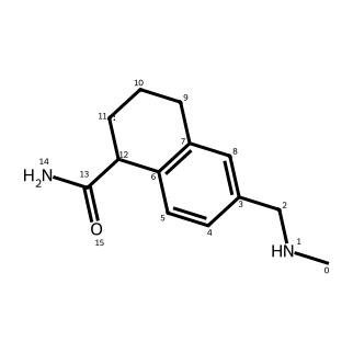 CNCc1ccc2c(c1)CC[C]C2C(N)=O